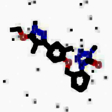 CCOc1c(C)c(-c2ccc(OCc3ccccc3-n3nnn(C)c3=O)c(C)c2)nn1C